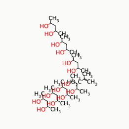 C=C(C)C(=O)O.CC(O)CC(C)O.CC(O)CC(C)O.CC(O)CC(C)O.CC(O)CC(C)O.CC(O)CC(C)O.CC(O)CC(C)O.CC(O)CC(C)O